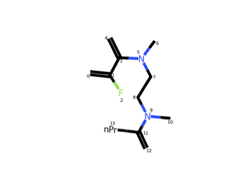 C=C(F)C(=C)N(C)CCN(C)C(=C)CCC